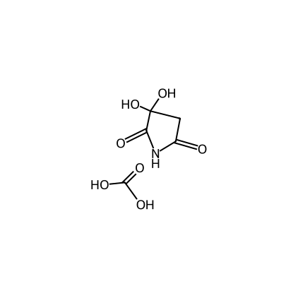 O=C(O)O.O=C1CC(O)(O)C(=O)N1